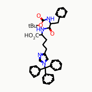 CC(C)(C)OC(=O)NC(Cc1ccccc1)C(=O)NC(CCCc1cn(C(c2ccccc2)(c2ccccc2)c2ccccc2)cn1)C(=O)O